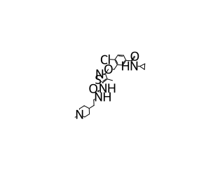 Cc1c(OCc2cc(C(=O)NC3CC3)ccc2Cl)nsc1NC(=O)NCCC1CCN(C)CC1